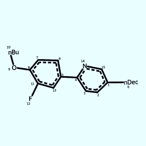 CCCCCCCCCCc1ccc(-c2ccc(OCCCC)c(F)c2)nc1